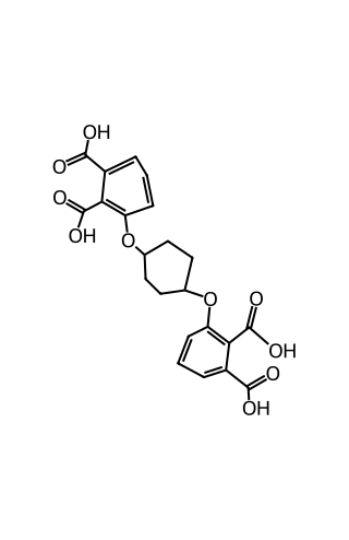 O=C(O)c1cccc(OC2CCC(Oc3cccc(C(=O)O)c3C(=O)O)CC2)c1C(=O)O